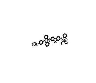 C=CC1=C(/C=C\C)Oc2ccccc2N1c1ccc2c(c1)C(C)(C)c1cc(N3c4ccccc4N(c4ccc(C(C)(C)C)cc4)c4ccccc43)ccc1-2